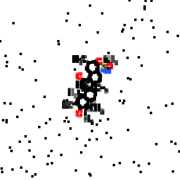 C[C@H]1CC[C@]2(NS(C)(=O)=O)CC[C@]3(C)C(C(=O)C=C4[C@@]5(C)C=C(C#N)C(=O)C(C)(C)[C@@H]5CC[C@]43C)C2C1